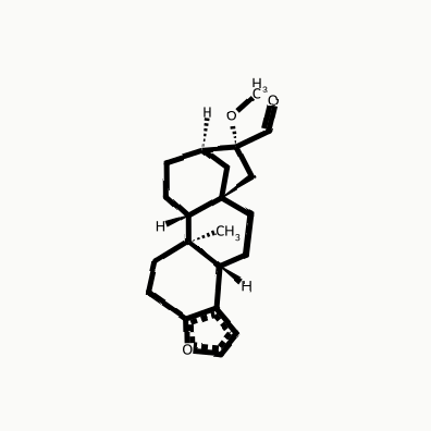 CO[C@]1(C=O)C[C@@]23CC[C@@H]4c5ccoc5CC[C@@]4(C)[C@@H]2CC[C@@H]1C3